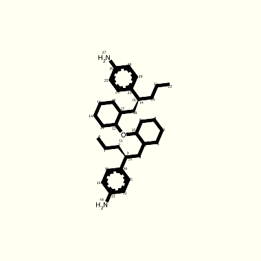 CCC[C@@H](CC1CCCCC1OC1CCCCC1C[C@H](CCC)c1ccc(N)cc1)c1ccc(N)cc1